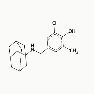 Cc1cc(CNC23CC4CC(CC(C4)C2)C3)cc(Cl)c1O